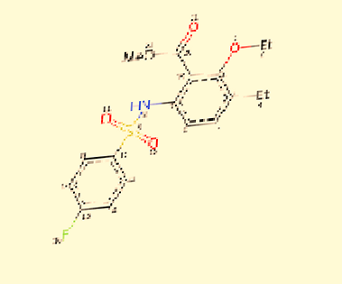 CCOc1c(CC)ccc(NS(=O)(=O)c2ccc(F)cc2)c1C(=O)OC